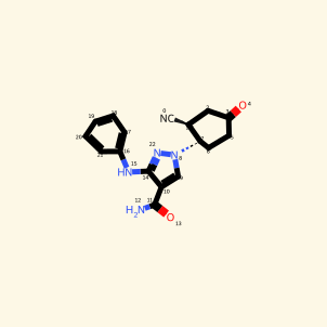 N#C[C@H]1CC(=O)CC[C@@H]1n1cc(C(N)=O)c(Nc2ccccc2)n1